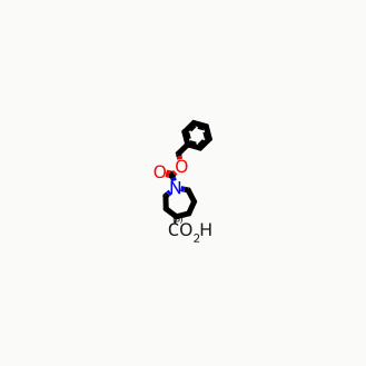 O=C(O)[C@H]1CCCN(C(=O)OCc2ccccc2)CC1